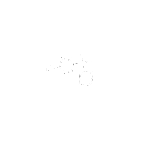 CP(=O)(c1ccccc1)c1ccc(C#N)cc1